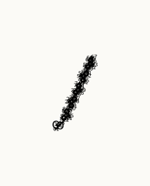 C=CC(=O)OCCc1ccc2c(c1)C(C)(C)c1cc(-c3ccc4c(c3)C(C)(C)c3cc(-c5ccc6c(c5)C(C)(C)c5cc(-c7ccc8c(c7)C(C)(C)c7cc(-c9ccc%10c(c9)C(C)(C)c9cc(C)ccc9-%10)ccc7-8)ccc5-6)ccc3-4)ccc1-2